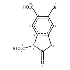 CCOC(=O)N1C(=O)Cc2cc(Br)c(C(=O)O)cc21